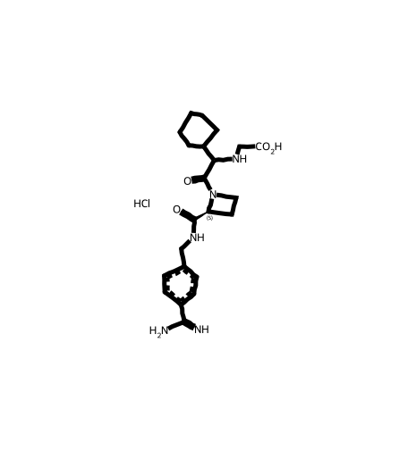 Cl.N=C(N)c1ccc(CNC(=O)[C@@H]2CCN2C(=O)C(NCC(=O)O)C2CCCCC2)cc1